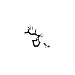 CC(S)C[C@@H](C)C(=O)N1CCC[C@H]1CO